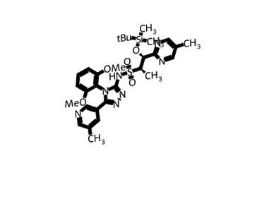 COc1cccc(OC)c1-n1c(NS(=O)(=O)[C@H](C)[C@@H](O[Si](C)(C)C(C)(C)C)c2ncc(C)cn2)nnc1-c1cncc(C)c1